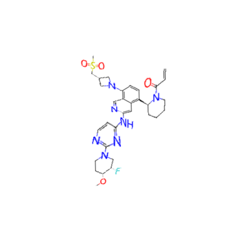 C=CC(=O)N1CCCC[C@H]1c1ccc(N2CC(CS(C)(=O)=O)C2)c2cnc(Nc3ccnc(N4CC[C@@H](OC)[C@@H](F)C4)n3)cc12